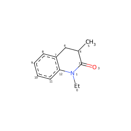 CCN1C(=O)C(C)Cc2ccccc21